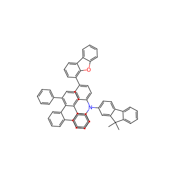 CC1(C)c2ccccc2-c2ccc(N(c3ccc(-c4cccc5c4oc4ccccc45)cc3)c3ccccc3-c3cccc(-c4ccccc4)c3-c3ccccc3-c3ccccc3)cc21